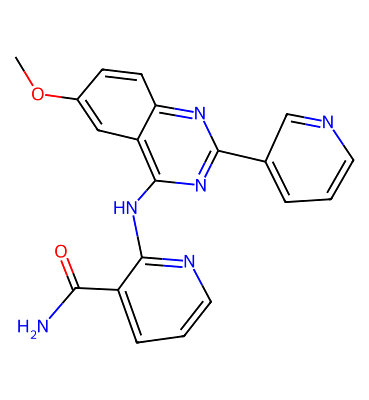 COc1ccc2nc(-c3cccnc3)nc(Nc3ncccc3C(N)=O)c2c1